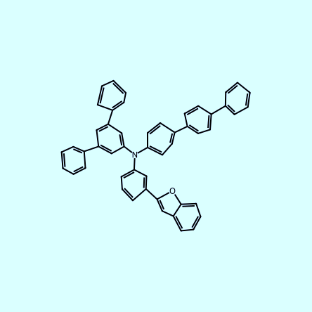 c1ccc(-c2ccc(-c3ccc(N(c4cc(-c5ccccc5)cc(-c5ccccc5)c4)c4cccc(-c5cc6ccccc6o5)c4)cc3)cc2)cc1